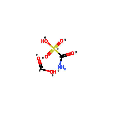 NC(=O)S(=O)(=O)O.O=CO